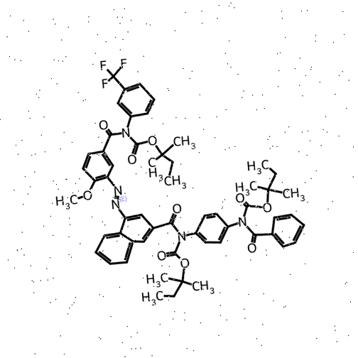 CCC(C)(C)OC(=O)N(C(=O)c1ccccc1)c1ccc(N(C(=O)OC(C)(C)CC)C(=O)c2cc(/N=N/c3cc(C(=O)N(C(=O)OC(C)(C)CC)c4cccc(C(F)(F)F)c4)ccc3OC)c3ccccc3c2)cc1